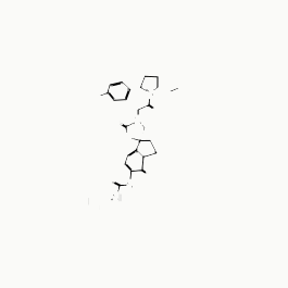 CC[C@H]1CC[C@@H](c2ccc(F)cc2)N1C(=O)CN1C[C@]2(CCC3C(=O)C(NC(=O)NC)=CC=C32)OC1=O